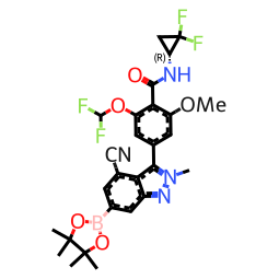 COc1cc(-c2c3c(C#N)cc(B4OC(C)(C)C(C)(C)O4)cc3nn2C)cc(OC(F)F)c1C(=O)N[C@@H]1CC1(F)F